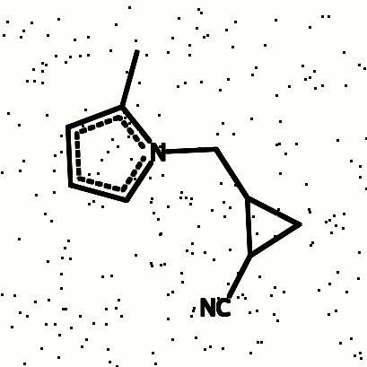 Cc1cccn1CC1CC1C#N